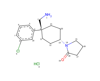 Cl.NC[C@]1(c2cccc(Cl)c2)CC[C@@H](N2CCCC2=O)CC1